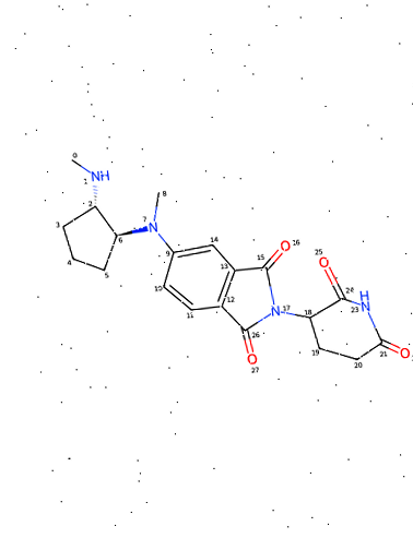 CN[C@H]1CCC[C@@H]1N(C)c1ccc2c(c1)C(=O)N(C1CCC(=O)NC1=O)C2=O